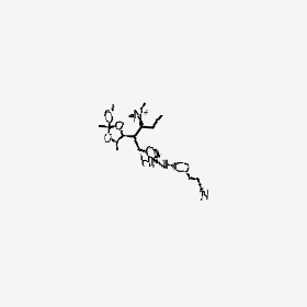 CCC(C(CONOCCC#N)C1OC(C)(OC)OC1C)=[N+](C)C